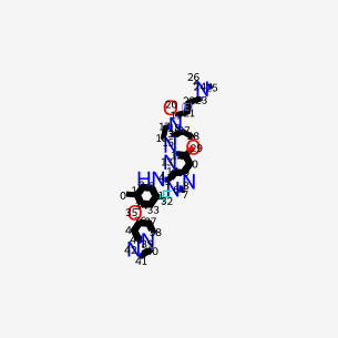 Cc1cc(Nc2ncnc3cc4c(nc23)N2CCN(C(=O)/C=C/CN(C)C)C(CO4)C2)c(F)cc1Oc1ccn2ccnc2c1